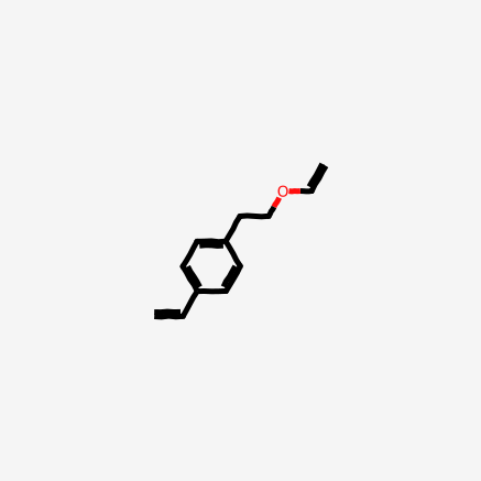 C=COCCc1ccc(C=C)cc1